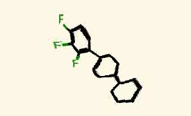 Fc1ccc(C2=CCC(C3CCCCC3)CC2)c(F)c1F